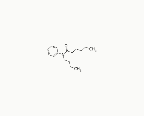 CCCCCC(=O)N(CCCC)c1ccccc1